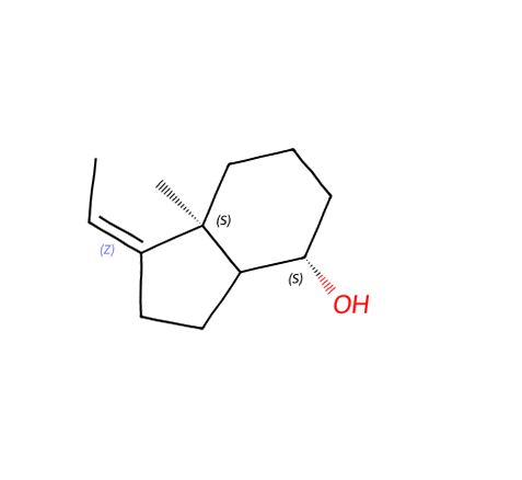 C/C=C1/CCC2[C@@H](O)CCC[C@]12C